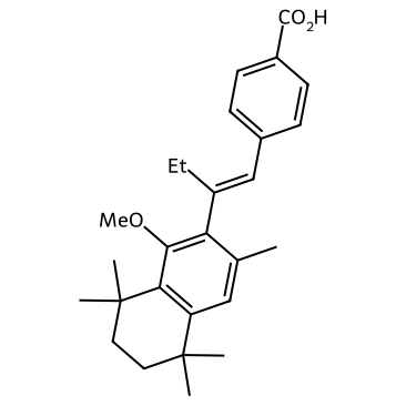 CC/C(=C\c1ccc(C(=O)O)cc1)c1c(C)cc2c(c1OC)C(C)(C)CCC2(C)C